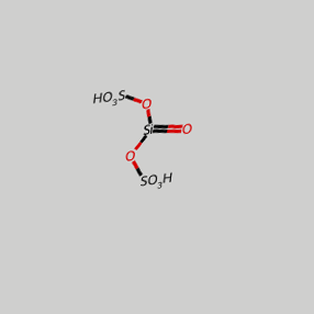 O=[Si](OS(=O)(=O)O)OS(=O)(=O)O